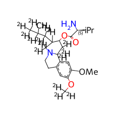 [2H]C([2H])([2H])Oc1cc2c(cc1OC)C1([2H])N(CC2)C([2H])([2H])C([2H])(C([2H])([2H])C([2H])(C)C([2H])([2H])[2H])C(OC(=O)[C@@H](N)C(C)C)C1([2H])[2H]